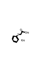 O=C(O)CSc1ccccc1.[KH]